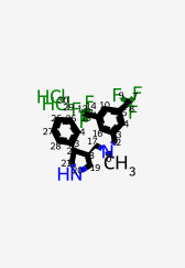 CN(Cc1cc(C(F)(F)F)cc(C(F)(F)F)c1)C[C@H]1CNC[C@H]1c1ccccc1.Cl.Cl